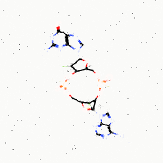 Nc1nc2c(ncn2[C@@H]2O[C@@H]3CO[P@](=O)(S)O[C@@H]4[C@H](F)C(CO[P@](=O)(S)O[C@H]3[C@H]2F)O[C@H]4n2cnc3c(N)ncnc32)c(=O)[nH]1